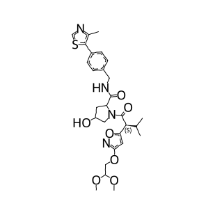 COC(COc1cc([C@@H](C(=O)N2CC(O)CC2C(=O)NCc2ccc(-c3scnc3C)cc2)C(C)C)on1)OC